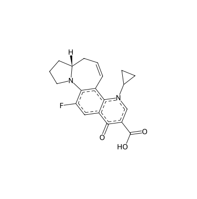 O=C(O)c1cn(C2CC2)c2c3c(c(F)cc2c1=O)N1CCC[C@@H]1CC=C3